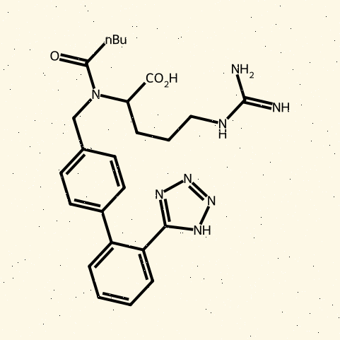 CCCCC(=O)N(Cc1ccc(-c2ccccc2-c2nnn[nH]2)cc1)C(CCCNC(=N)N)C(=O)O